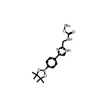 CC(C)(C)OC(=O)NCc1nc(-c2ccc(B3OC(C)(C)C(C)(C)O3)cc2)c[nH]1